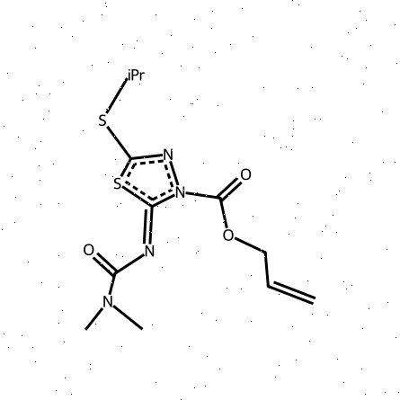 C=CCOC(=O)n1nc(SC(C)C)sc1=NC(=O)N(C)C